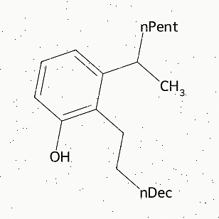 CCCCCCCCCCCCc1c(O)cccc1C(C)CCCCC